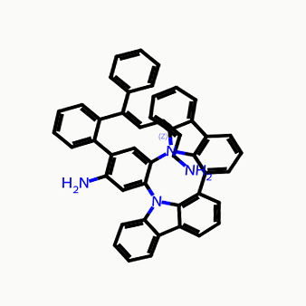 NC/C=C\C=C(c1ccccc1)c1ccccc1-c1cc2c(cc1N)n1c3ccccc3c3cccc(c4cccc5c6ccccc6n2c54)c31